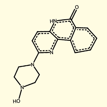 O=c1[nH]c2ccc(N3CCN(O)CC3)nc2c2ccccc12